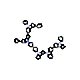 c1ccc(-c2ccc3c(c2)c2cc(-c4ccc5c(c4)c4cc(-c6ccccc6)ccc4n5-c4ccc(-c5ccc(-n6c7ccccc7c7cc(-n8c9ccccc9c9cc(-c%10ccc%11c(c%10)c%10ccccc%10n%11-c%10ccccc%10)ccc98)ccc76)cc5)cc4)ccc2n3-c2ccccc2)cc1